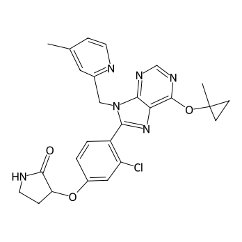 Cc1ccnc(Cn2c(-c3ccc(OC4CCNC4=O)cc3Cl)nc3c(OC4(C)CC4)ncnc32)c1